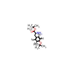 [2H]c1c([2H])c(OC(C)(C)C)c([2H])c([2H])c1C[C@H](N)C(=O)OC(C)(C)C